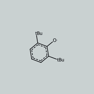 CC(C)(C)c1cccc(C(C)(C)C)c1[O]